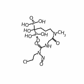 CN(CCCC(O)(P(=O)(O)O)P(=O)(O)O)C(=O)CNC(=O)N(CCCl)N=O